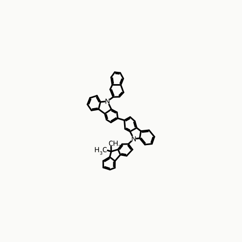 CC1(C)c2ccccc2-c2ccc(-n3c4ccccc4c4ccc(-c5ccc6c7ccccc7n(-c7ccc8ccccc8c7)c6c5)cc43)cc21